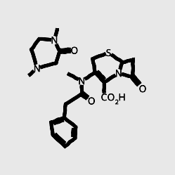 CN(C(=O)Cc1ccccc1)C1=C(C(=O)O)N2C(=O)CC2SC1.CN1CCN(C)C(=O)C1